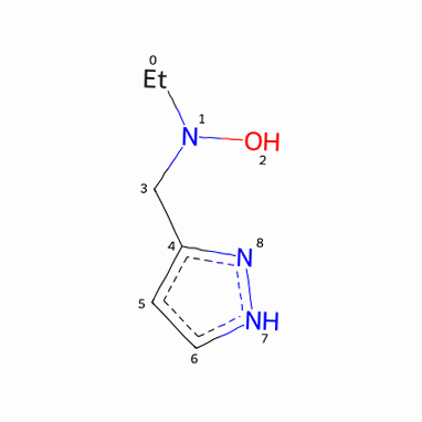 CCN(O)Cc1cc[nH]n1